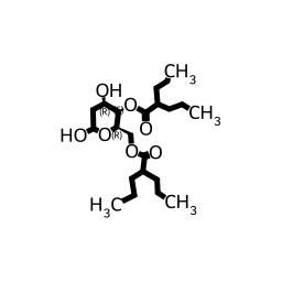 CCCC(CCC)C(=O)OC[C@H]1OC(O)C[C@@H](O)[C@@H]1OC(=O)C(CCC)CCC